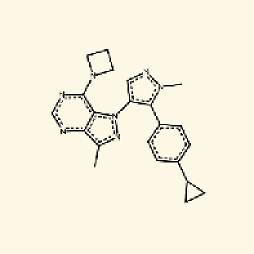 Cc1nn(-c2cnn(C)c2-c2ccc(C3CC3)cc2)c2c(N3CCC3)ncnc12